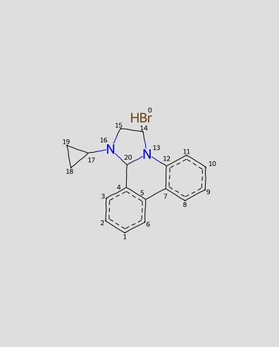 Br.c1ccc2c(c1)-c1ccccc1N1CCN(C3CC3)C21